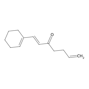 C=CCCC(=O)C=CC1=CCCCC1